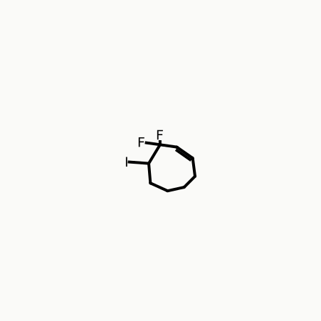 FC1(F)/C=C\CCCCC1I